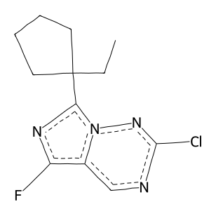 CCC1(c2nc(F)c3cnc(Cl)nn23)CCCC1